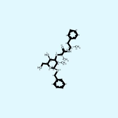 C[C@H](OC1[C@H](O)C(CO)O[C@H](OCc2ccccc2)[C@H]1C)C(=O)N[C@@H](C)Cc1ccccc1